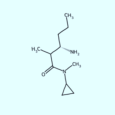 CCC[C@H](N)C(C)C(=O)N(C)C1CC1